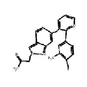 Cc1cc(-c2ncccc2-c2ccc3cn(CC(N)=O)nc3c2)ccc1F